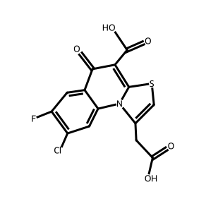 O=C(O)Cc1csc2c(C(=O)O)c(=O)c3cc(F)c(Cl)cc3n12